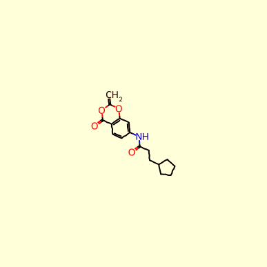 C=C1OC(=O)c2ccc(NC(=O)CCC3CCCC3)cc2O1